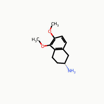 COc1ccc2c(c1OC)CC[C@@H](N)C2